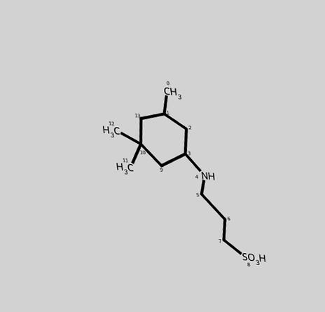 CC1CC(NCCCS(=O)(=O)O)CC(C)(C)C1